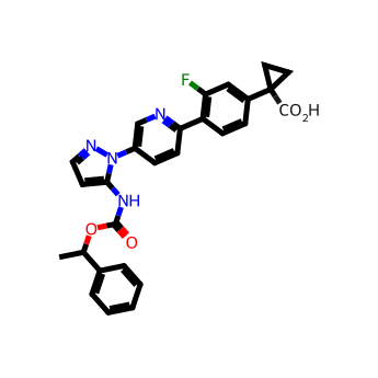 CC(OC(=O)Nc1ccnn1-c1ccc(-c2ccc(C3(C(=O)O)CC3)cc2F)nc1)c1ccccc1